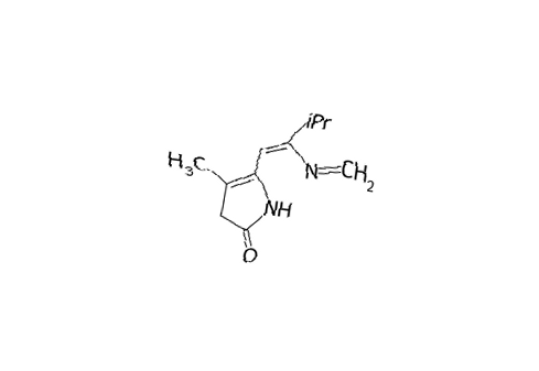 C=N/C(=C\C1=C(C)CC(=O)N1)C(C)C